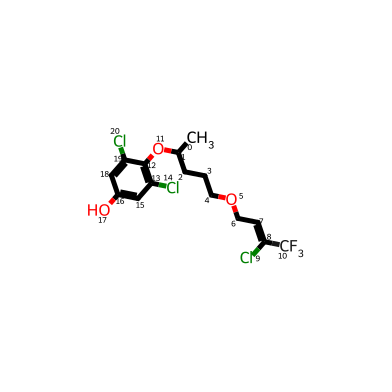 CC(CCCOCC=C(Cl)C(F)(F)F)Oc1c(Cl)cc(O)cc1Cl